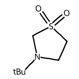 CC(C)(C)N1CCS(=O)(=O)C1